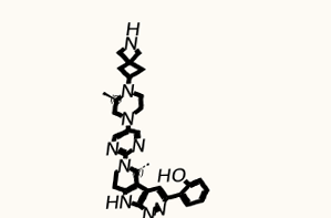 C[C@@H]1c2c([nH]c3nnc(-c4ccccc4O)cc23)CCN1c1ncc(N2CCN(C3CC4(CNC4)C3)[C@H](C)C2)cn1